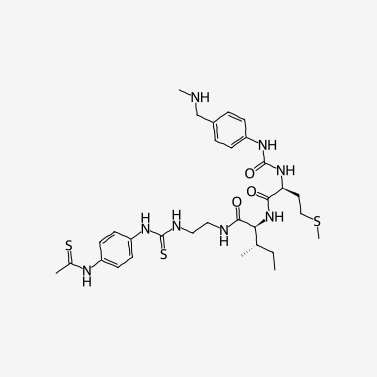 CC[C@H](C)[C@H](NC(=O)[C@H](CCSC)NC(=O)Nc1ccc(CNC)cc1)C(=O)NCCNC(=S)Nc1ccc(NC(C)=S)cc1